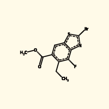 CCc1c(C(=O)OC)cc2sc(Br)nc2c1F